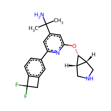 CC(C)(N)c1cc(O[C@@H]2[C@@H]3CNC[C@@H]32)nc(-c2ccc3c(c2)CC3(F)F)c1